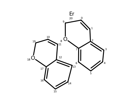 C1=Cc2ccccc2OC1.C1=Cc2ccccc2OC1.[Er]